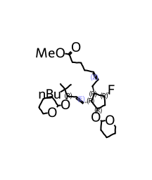 CCCCC(C)(C)[C@@H](/C=C/[C@@H]1[C@@H](C/C=C\CCCC(=O)OC)[C@H](F)C[C@H]1OC1CCCCO1)OC1CCCCO1